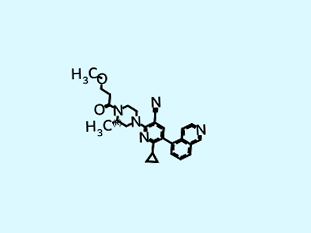 COCCC(=O)N1CCN(c2nc(C3CC3)c(-c3cccc4cnccc34)cc2C#N)C[C@H]1C